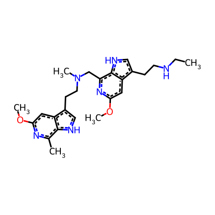 CCNCCc1c[nH]c2c(CN(C)CCc3c[nH]c4c(C)nc(OC)cc34)nc(OC)cc12